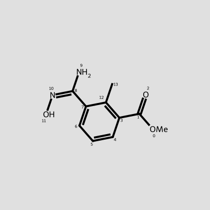 COC(=O)c1cccc(/C(N)=N\O)c1C